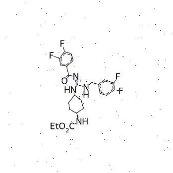 CCOC(=O)N[C@H]1CC[C@H](N/C(=N\C(=O)c2ccc(F)c(F)c2)NCc2ccc(F)c(F)c2)CC1